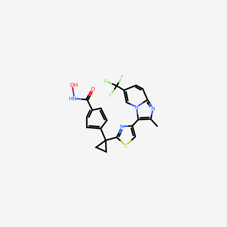 Cc1nc2ccc(C(F)(F)F)cn2c1-c1csc(C2(c3ccc(C(=O)NO)cc3)CC2)n1